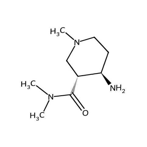 CN1CC[C@@H](N)[C@H](C(=O)N(C)C)C1